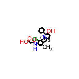 Cc1cc(NC(=O)CC(=O)O)c(Cl)c(C)c1Cc1ccc(O)c(C2CCCCC2)n1